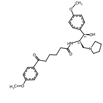 COc1ccc(C(=O)CCCCC(=O)N[C@H](CN2CCCC2)[C@H](O)c2ccc(OC)cc2)cc1